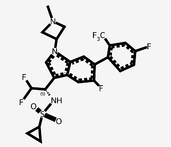 CN1CC(n2cc([C@H](NS(=O)(=O)C3CC3)C(F)F)c3cc(F)c(-c4ccc(F)cc4C(F)(F)F)cc32)C1